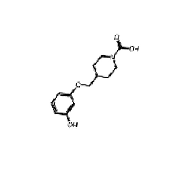 O=C(O)N1CCC(COc2cccc(O)c2)CC1